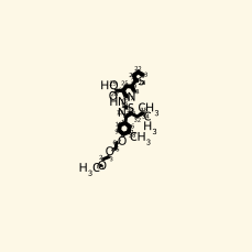 COCCOCCOc1ccc(-c2nc(Nc3ncc(-c4cccs4)cc3C(=O)O)sc2CC(C)C)cc1C